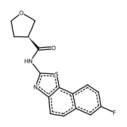 O=C(Nc1nc2ccc3cc(F)ccc3c2s1)[C@H]1CCOC1